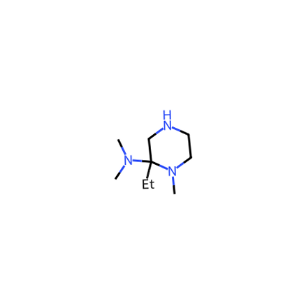 CCC1(N(C)C)CNCCN1C